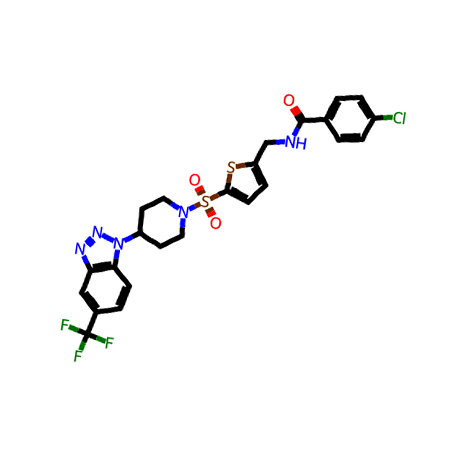 O=C(NCc1ccc(S(=O)(=O)N2CCC(n3nnc4cc(C(F)(F)F)ccc43)CC2)s1)c1ccc(Cl)cc1